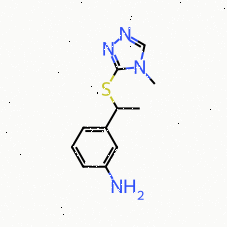 CC(Sc1nncn1C)c1cccc(N)c1